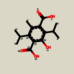 Cc1c(C(=O)O)c(C(C)C)c(O)c(C(=O)O)c1C(C)C